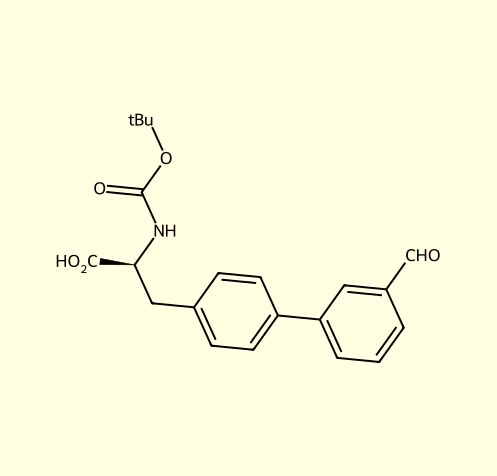 CC(C)(C)OC(=O)N[C@@H](Cc1ccc(-c2cccc(C=O)c2)cc1)C(=O)O